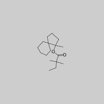 CCC(C)(C)C(=O)OC1(C)CCCC12CCCCC2